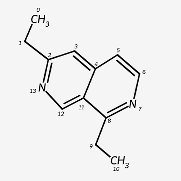 CCc1cc2ccnc(CC)c2cn1